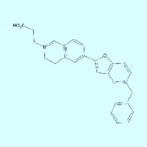 O=C(O)CC[N+]1=Cc2ccc(-c3cc4cc(Cc5ccccc5)ccc4o3)cc2CC1